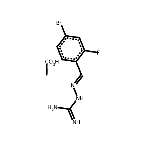 CC(=O)O.N=C(N)NN=Cc1ccc(Br)cc1F